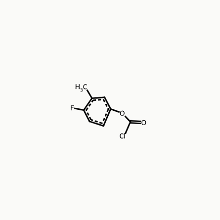 Cc1cc(OC(=O)Cl)ccc1F